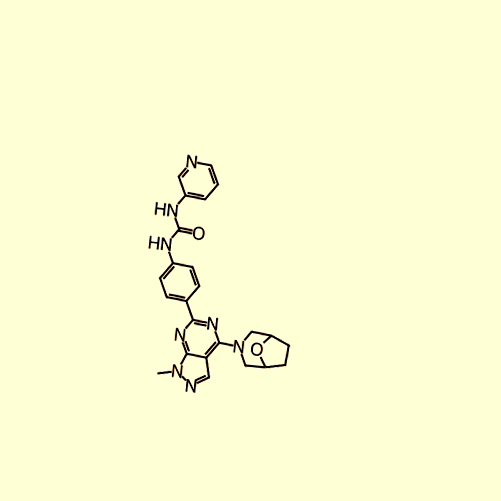 Cn1ncc2c(N3CC4CCC(C3)O4)nc(-c3ccc(NC(=O)Nc4cccnc4)cc3)nc21